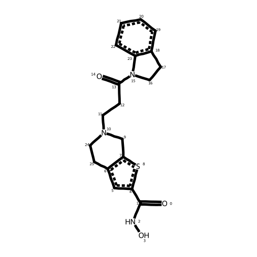 O=C(NO)c1cc2c(s1)CN(CCC(=O)N1CCc3ccccc31)CC2